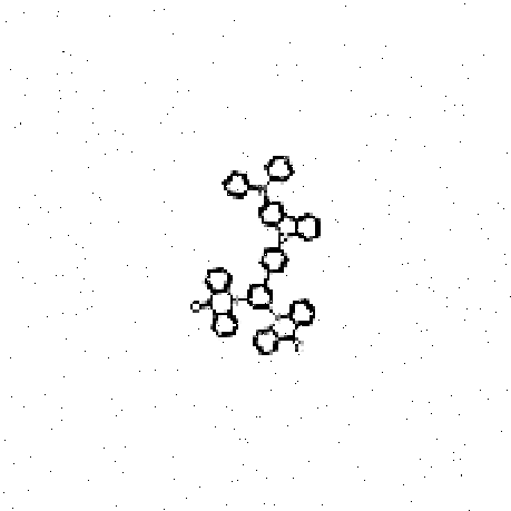 O=c1c2ccccc2n(-c2cc(-c3ccc(-n4c5ccccc5c5cc(N(c6ccccc6)c6ccccc6)ccc54)cc3)cc(-n3c4ccccc4c(=O)c4ccccc43)c2)c2ccccc12